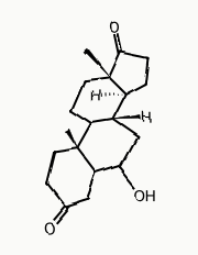 C[C@]12CCC(=O)CC1C(O)C[C@@H]1C2CC[C@]2(C)C(=O)CC[C@@H]12